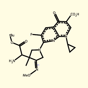 CO/N=C1/CN(c2nc3c(cc2F)c(=O)c(C(=O)O)cn3C2CC2)CC1(C)C(N)C(=O)OC(C)(C)C